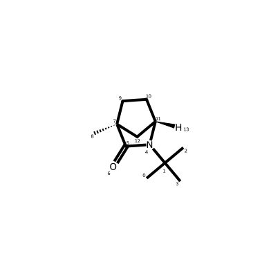 CC(C)(C)N1C(=O)[C@@]2(C)CC[C@H]1C2